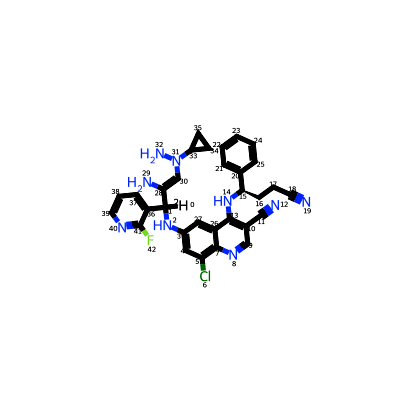 [2H]C(Nc1cc(Cl)c2ncc(C#N)c(N[C@H](CCC#N)c3ccccc3)c2c1)(/C(N)=C/N(N)C1CC1)c1cccnc1F